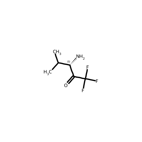 CC(C)[C@H](N)C(=O)C(F)(F)F